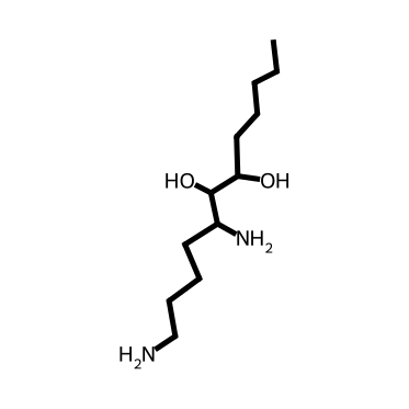 CCCCCC(O)C(O)C(N)CCCCN